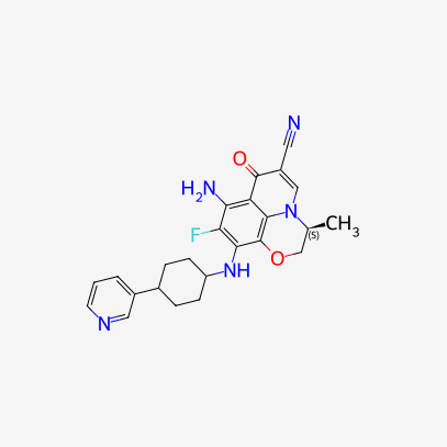 C[C@H]1COc2c(NC3CCC(c4cccnc4)CC3)c(F)c(N)c3c(=O)c(C#N)cn1c23